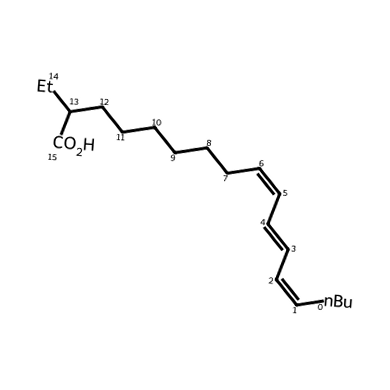 CCCC\C=C/C=C/C=C\CCCCCCC(CC)C(=O)O